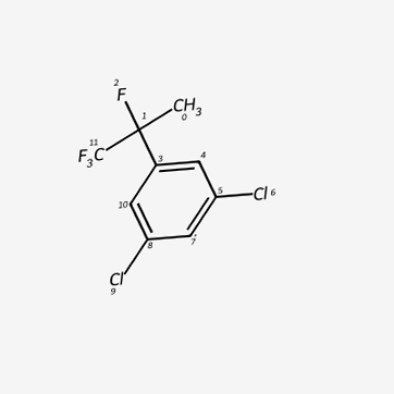 CC(F)(c1cc(Cl)[c]c(Cl)c1)C(F)(F)F